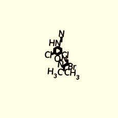 CC(C)c1nc(Oc2c(Cl)cc(NCC#N)cc2Cl)ncc1Br